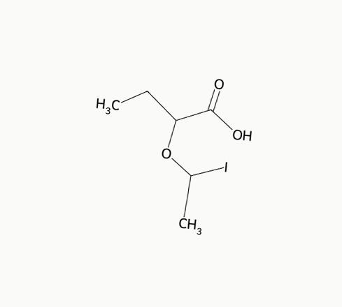 CCC(OC(C)I)C(=O)O